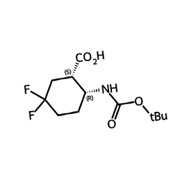 CC(C)(C)OC(=O)N[C@@H]1CCC(F)(F)C[C@@H]1C(=O)O